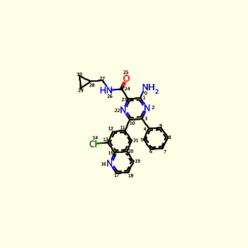 Nc1nc(-c2ccccc2)c(-c2cc(Cl)c3ncccc3c2)nc1C(=O)NCC1CC1